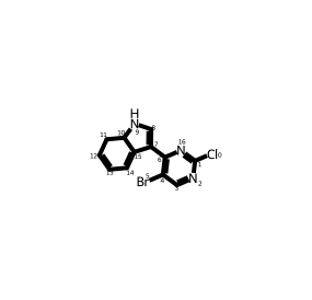 Clc1ncc(Br)c(C2=CNC3CC=CC=C23)n1